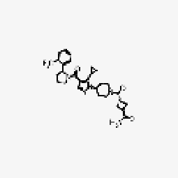 NC(=O)C1CN(C(=O)N2CCC(n3ncc(C(=O)N4CCCC4c4ccccc4C(F)(F)F)c3C3CC3)CC2)C1